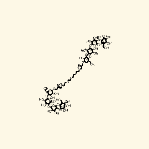 C[C@H]1O[C@H](O[C@@H]2[C@@H](CO)C[C@H](O[C@H]3C(O)[C@@H](O)[C@H](OCc4cn(CCOCCOCCOCCn5cc(CO[C@@H]6O[C@H](CO)C(O[C@H]7O[C@H](CO)[C@@H](O[C@H]8O[C@H](C)[C@@H](N[C@H]9C=C(CO)[C@@H](O)[C@H](O)[C@H]9O)[C@H](O)[C@H]8O)[C@H](O)[C@H]7O)[C@H](O)[C@H]6O)nn5)nn4)C[C@@H]3CO)[C@H](O)[C@H]2O)[C@H](O)[C@@H](O)[C@@H]1N[C@H]1C=C(CO)[C@@H](O)[C@H](O)C1O